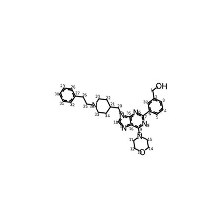 OCc1cccc(-c2nc(N3CCOCC3)c3ncn(CC4CCN(CCc5ccccc5)CC4)c3n2)c1